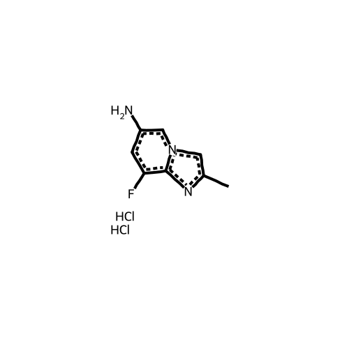 Cc1cn2cc(N)cc(F)c2n1.Cl.Cl